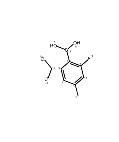 Cc1ccc(B(O)O)c(F)c1.ClCCl